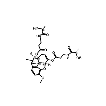 COc1ccc2c3c1O[C@@H]1C(OC(=O)CCNC(=O)[C@H](C)O)=CC[C@]4(OC(=O)CCNC(=O)[C@H](C)O)[C@H](C2)N(C)CC[C@@]314